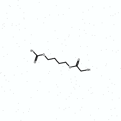 CCC(=O)OCCCCOC(=O)CS